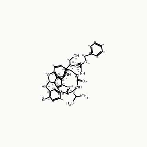 CC(C)[C@@H]1NC(=O)[C@@H](NC(=O)OCc2ccccc2)Cc2ccc3c(c2)[C@@]2(c4cccc(Br)c4NC2O3)c2oc1nc2C(=O)NCC(O)CO